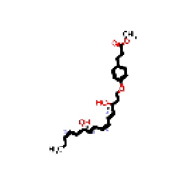 CC/C=C\C[C@H](O)/C=C/C=C\C=C\[C@@H](O)CCOc1ccc(CCC(=O)OC)cc1